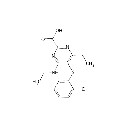 CCNc1nc(C(=O)O)nc(CC)c1Sc1ccccc1Cl